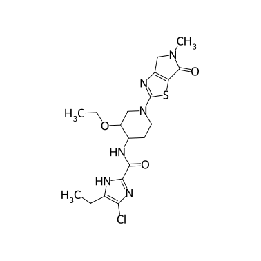 CCOC1CN(c2nc3c(s2)C(=O)N(C)C3)CCC1NC(=O)c1nc(Cl)c(CC)[nH]1